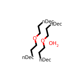 CCCCCCCCCCCCOCCCCCCCCCCCC.CCCCCCCCCCCCOCCCCCCCCCCCC.O